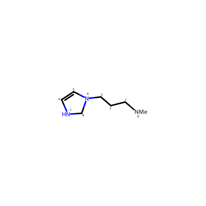 CNCCCN1C=CNC1